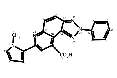 Cn1cccc1-c1cc(C(=O)O)c2c(ccc3nn(-c4ccccc4)nc32)n1